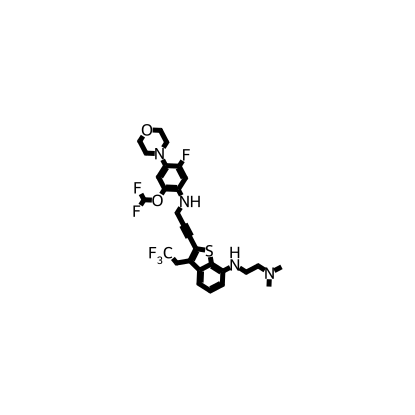 CN(C)CCNc1cccc2c(CC(F)(F)F)c(C#CCNc3cc(F)c(N4CCOCC4)cc3OC(F)F)sc12